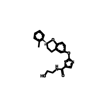 Cc1ccccc1[C@H]1CCc2cc(Oc3ncc(C(=O)NCCO)s3)ccc2O1